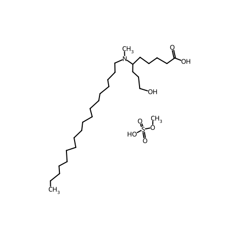 CCCCCCCCCCCCCCCCCCN(C)C(CCCO)CCCCC(=O)O.COS(=O)(=O)O